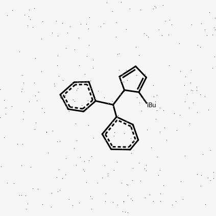 CCC(C)C1=CC=C[C]1C(c1ccccc1)c1ccccc1